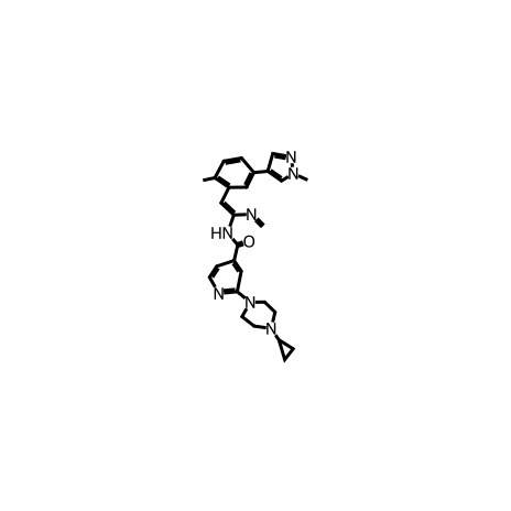 C=N/C(=C\c1cc(-c2cnn(C)c2)ccc1C)NC(=O)c1ccnc(N2CCN(C3CC3)CC2)c1